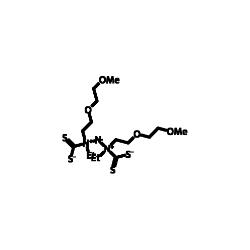 CC[N+](CCOCCOC)([N][N+](CC)(CCOCCOC)C(=S)[S-])C(=S)[S-]